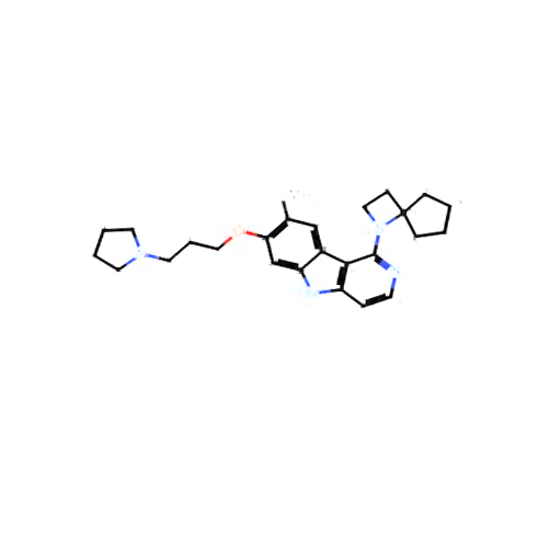 COc1cc2c(cc1OCCCN1CCCC1)[nH]c1ccnc(N3CCC34CCCC4)c12